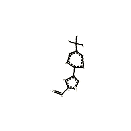 CC(C)(C)c1ccc(-c2coc(C=O)c2)cc1